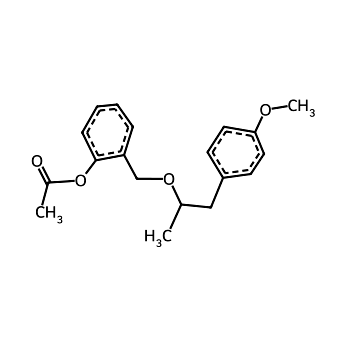 COc1ccc(CC(C)OCc2ccccc2OC(C)=O)cc1